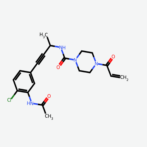 C=CC(=O)N1CCN(C(=O)NC(C)C#Cc2ccc(Cl)c(NC(C)=O)c2)CC1